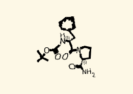 CC(C)(C)OC(=O)N[C@@H](Cc1ccccc1)C(=O)N1CCC[C@H]1C(N)=O